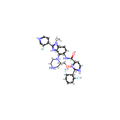 Cn1c(-c2ccncc2F)nc2c(N3CCNC[C@@H]3CO)c(NC(=O)c3ccnc(-c4c(F)cccc4F)n3)ccc21